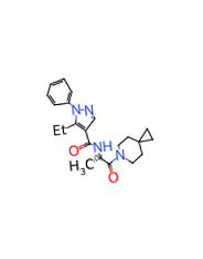 CCc1c(C(=O)N[C@@H](C)C(=O)N2CCC3(CC2)CC3)cnn1-c1ccccc1